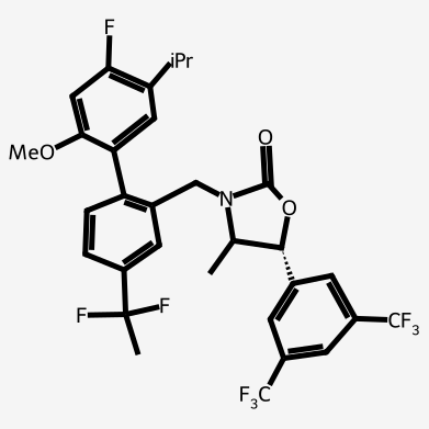 COc1cc(F)c(C(C)C)cc1-c1ccc(C(C)(F)F)cc1CN1C(=O)O[C@H](c2cc(C(F)(F)F)cc(C(F)(F)F)c2)C1C